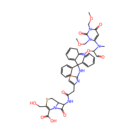 COCn1c(N(C)C(C=O)ON=C2CC=CC=C2C(Nc2nc(CC(=O)NC3C(=O)N4C(C(=O)O)=C(CO)SCC34)cs2)(c2ccccc2)c2ccccc2)cc(=O)n(COC)c1=O